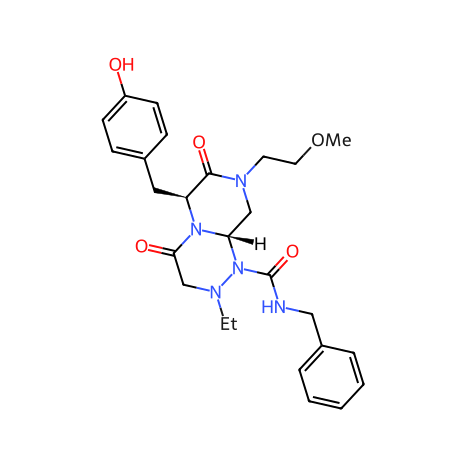 CCN1CC(=O)N2[C@@H](Cc3ccc(O)cc3)C(=O)N(CCOC)C[C@@H]2N1C(=O)NCc1ccccc1